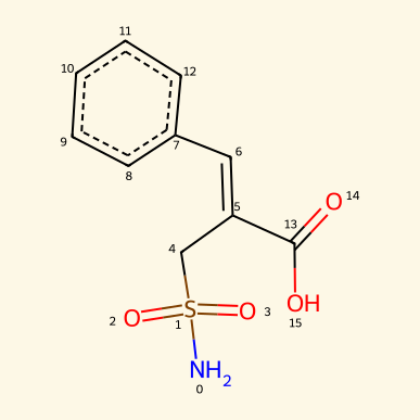 NS(=O)(=O)CC(=Cc1ccccc1)C(=O)O